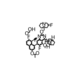 C#Cc1c(F)ccc2cc(OC(C)=O)cc(-c3c(F)c(OC)c4c(N5C[C@H]6CC[C@@H](C5)N6)nc(OC[C@@]56CCCN5C[C@H](F)C6)nc4c3F)c12.O=CO